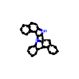 c1ccc2c(c1)cc1c3[nH]c4ccc5ccccc5c4c3n3c4ccccc4c2c13